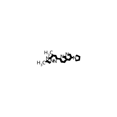 Cc1cn2nc(-c3ccc4cc(N5CCCC5)cnc4n3)cc(C)c2n1